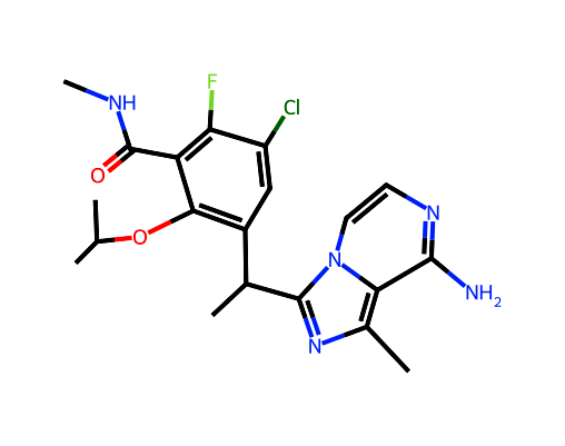 CNC(=O)c1c(F)c(Cl)cc(C(C)c2nc(C)c3c(N)nccn23)c1OC(C)C